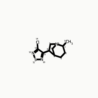 CC1CCC2CN1CC2c1nsnc1Cl